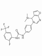 CN(C)C1c2ccoc2N=CN1c1ccc(NC(=O)Nc2cc(C(F)(F)F)ccc2F)cc1